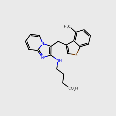 Cc1cccc2scc(Cc3c(NCCCC(=O)O)nc4ccccn34)c12